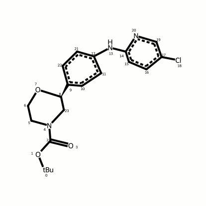 CC(C)(C)OC(=O)N1CCO[C@@H](c2ccc(Nc3ccc(Cl)cn3)cc2)C1